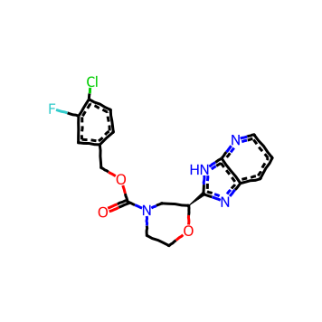 O=C(OCc1ccc(Cl)c(F)c1)N1CCO[C@H](c2nc3cccnc3[nH]2)C1